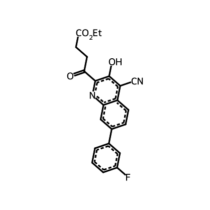 CCOC(=O)CCC(=O)c1nc2cc(-c3cccc(F)c3)ccc2c(C#N)c1O